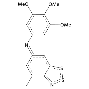 COc1cc(N=c2cc3ssnc-3c(C)c2)cc(OC)c1OC